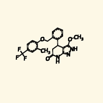 COc1[nH]nc2c1C(c1ccccc1COc1ccc(C(F)(F)F)cc1C)CC(=O)N2